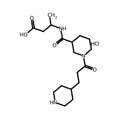 CC(CC(=O)O)NC(=O)C1CCCN(C(=O)CCC2CCNCC2)C1.Cl